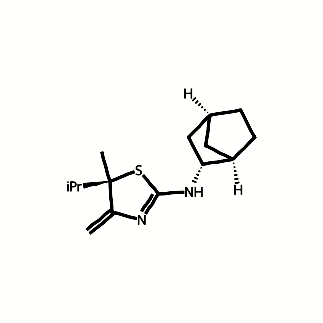 C=C1N=C(N[C@@H]2C[C@H]3CC[C@@H]2C3)S[C@]1(C)C(C)C